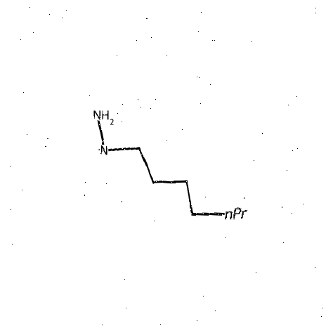 CCCCCCC[N]N